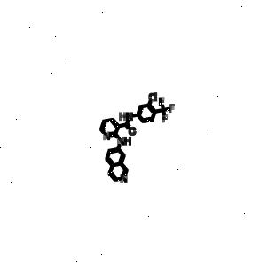 O=C(Nc1ccc(C(F)(F)F)c(Cl)c1)c1cccnc1Nc1ccc2ccncc2c1